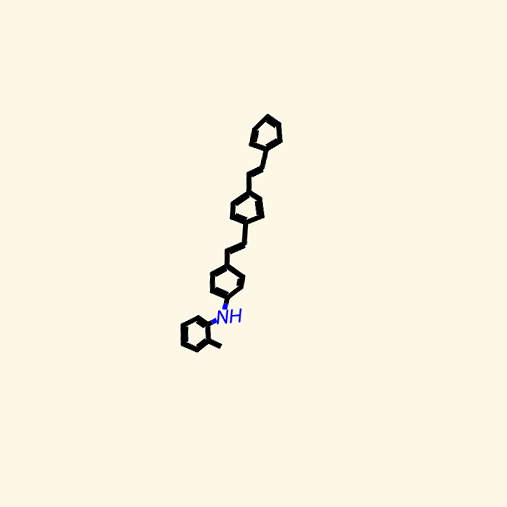 Cc1ccccc1Nc1ccc(/C=C/c2ccc(/C=C/c3ccccc3)cc2)cc1